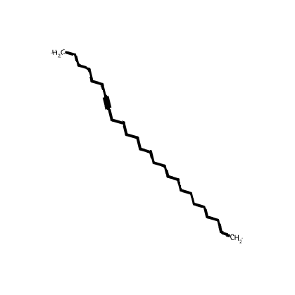 [CH2]CCCCCC#CCCCCCCCCCCCCCCCCC[CH2]